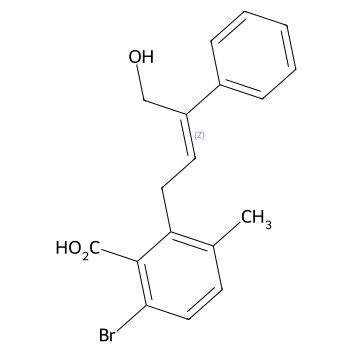 Cc1ccc(Br)c(C(=O)O)c1C/C=C(\CO)c1ccccc1